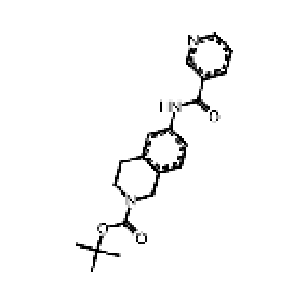 CC(C)(C)OC(=O)N1CCc2cc(NC(=O)c3cccnc3)ccc2C1